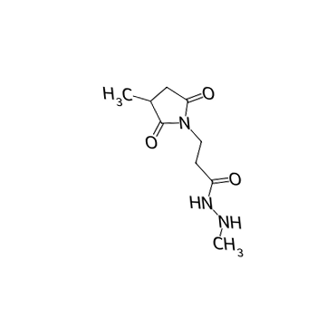 CNNC(=O)CCN1C(=O)CC(C)C1=O